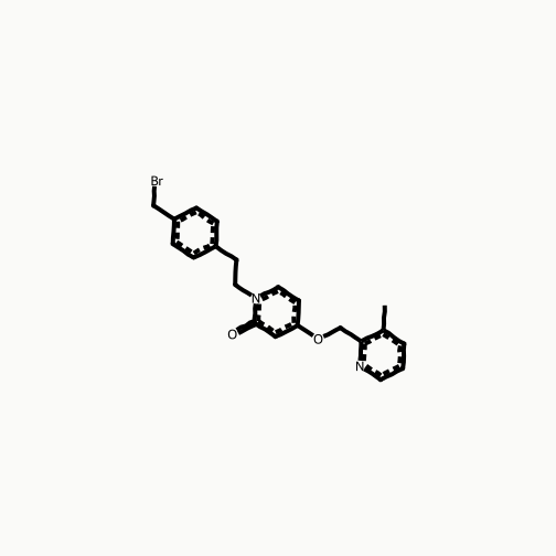 Cc1cccnc1COc1ccn(CCc2ccc(CBr)cc2)c(=O)c1